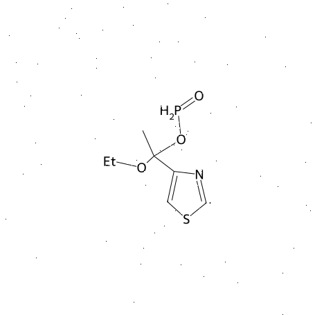 CCOC(C)(O[PH2]=O)c1cs[c]n1